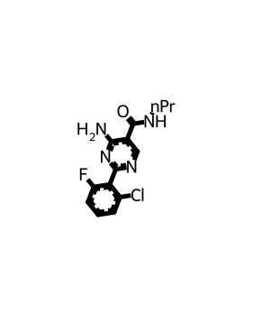 CCCNC(=O)c1cnc(-c2c(F)cccc2Cl)nc1N